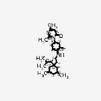 Cc1cc(=O)n(-c2ccc(NCCC3(CC(C)C)CC(C)CC(C)C3)c(F)c2)c(C)n1